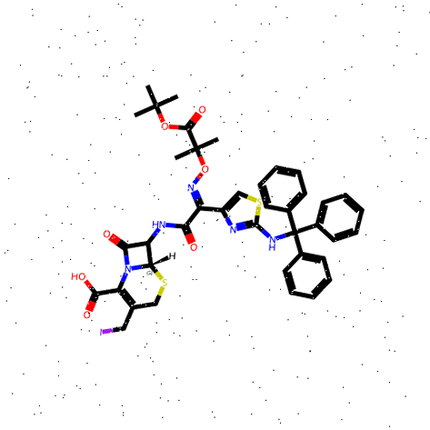 CC(C)(C)OC(=O)C(C)(C)ON=C(C(=O)NC1C(=O)N2C(C(=O)O)=C(CI)CS[C@@H]12)c1csc(NC(c2ccccc2)(c2ccccc2)c2ccccc2)n1